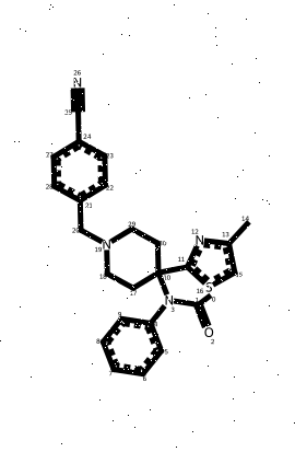 CC(=O)N(c1ccccc1)C1(c2nc(C)cs2)CCN(Cc2ccc(C#N)cc2)CC1